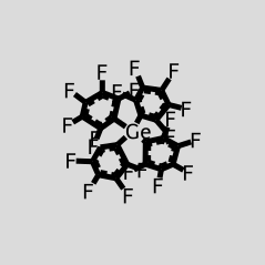 Fc1c(F)c(F)[c]([Ge]([c]2c(F)c(F)c(F)c(F)c2F)([c]2c(F)c(F)c(F)c(F)c2F)[c]2c(F)c(F)c(F)c(F)c2F)c(F)c1F